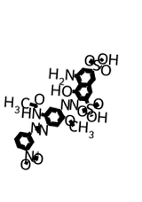 COc1cc(N=Nc2cccc([N+](=O)[O-])c2)c(NC(C)=O)cc1N=Nc1c(S(=O)(=O)O)cc2cc(S(=O)(=O)O)cc(N)c2c1O